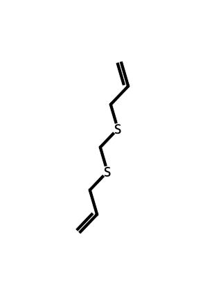 C=CCSCSCC=C